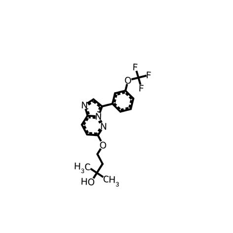 CC(C)(O)CCOc1ccc2ncc(-c3cccc(OC(F)(F)F)c3)n2n1